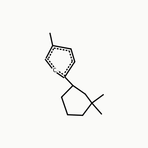 Cc1ccc(C2CCCC(C)(C)C2)cc1